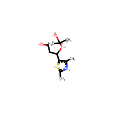 Cc1nc(C)c(C(CCO)OC(C)(C)O)s1